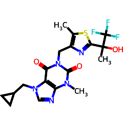 Cc1sc(C(C)(O)C(F)(F)F)nc1Cn1c(=O)c2c(ncn2CC2CC2)n(C)c1=O